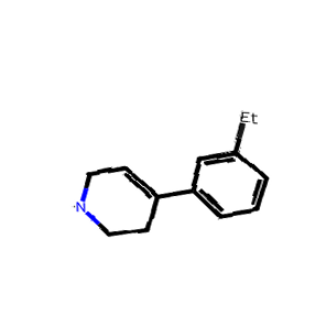 CCc1cccc(C2=CC[N]CC2)c1